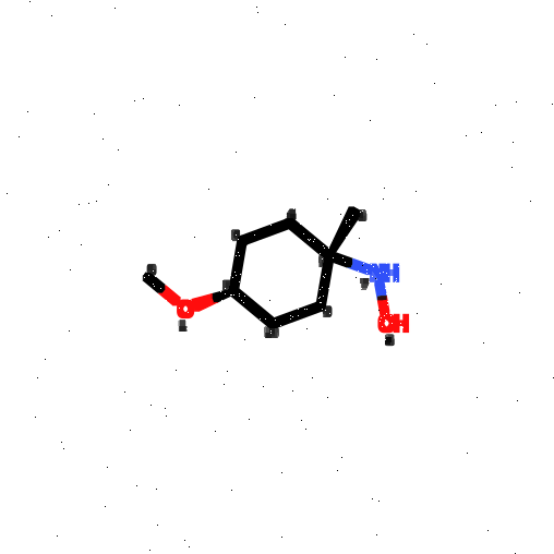 CO[C@H]1CC[C@](C)(NO)CC1